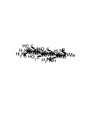 CN[C@@H](CCC(N)=O)C(=O)NCC(=O)N[C@@H](CCCNC(=N)N)C(=O)NCC(=O)N[C@@H](CCC(=O)O)C(=O)NCC(=O)N[C@@H](CCC(=O)O)C(=O)NCC(=O)N[C@@H](CCC(=O)O)C(=O)NCC(=O)N[C@@H](CCC(N)=O)C(N)=O